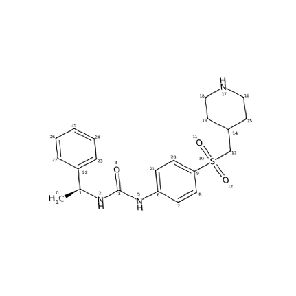 C[C@H](NC(=O)Nc1ccc(S(=O)(=O)CC2CCNCC2)cc1)c1ccccc1